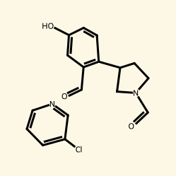 Clc1cccnc1.O=Cc1cc(O)ccc1C1CCN(C=O)C1